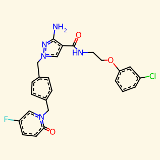 Nc1nn(Cc2ccc(Cn3cc(F)ccc3=O)cc2)cc1C(=O)NCCOc1cccc(Cl)c1